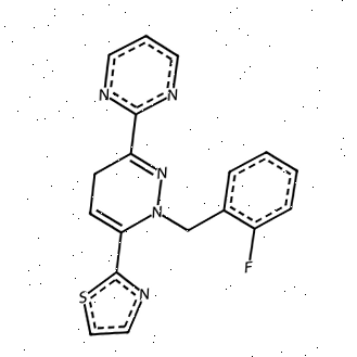 Fc1ccccc1CN1N=C(c2ncccn2)CC=C1c1nccs1